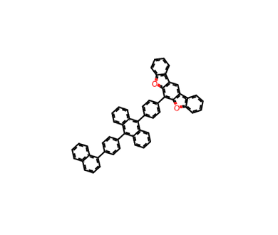 c1ccc2c(-c3ccc(-c4c5ccccc5c(-c5ccc(-c6c7oc8ccccc8c7cc7c6oc6ccccc67)cc5)c5ccccc45)cc3)cccc2c1